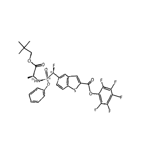 C[C@H](N[P@](=O)(Oc1ccccc1)[C@@H](F)c1ccc2sc(C(=O)Oc3c(F)c(F)c(F)c(F)c3F)cc2c1)C(=O)OCC(C)(C)C